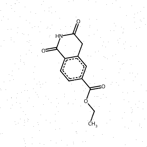 CCOC(=O)c1ccc2c(c1)CC(=O)NC2=O